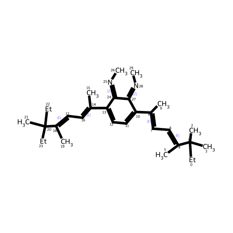 CCC(C)(C)/C(C)=C/C=C(\C)C1=CC=C(/C(C)=C/C=C(\C)C(C)(CC)CC)C(=N/C)/C1=N\C